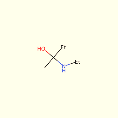 CCNC(C)(O)CC